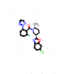 C[C@@H]1CC[C@@H](c2nc3ccc(Cl)cc3o2)CN1C(=O)c1c(F)cccc1-n1nccn1